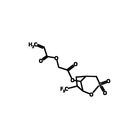 C=CC(=O)OCC(=O)OC1C2CC(C(F)(F)F)C1OS(=O)(=O)C2